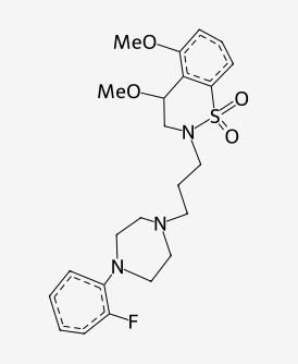 COc1cccc2c1C(OC)CN(CCCN1CCN(c3ccccc3F)CC1)S2(=O)=O